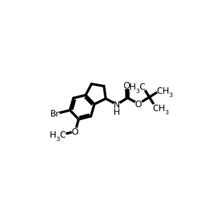 COc1cc2c(cc1Br)CCC2NC(=O)OC(C)(C)C